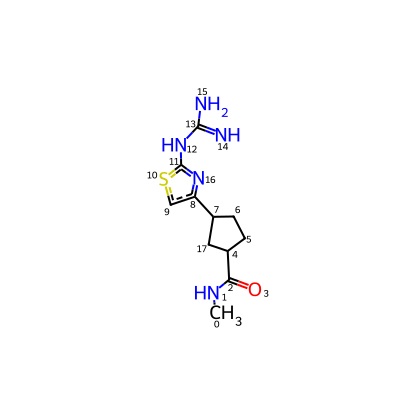 CNC(=O)C1CCC(c2csc(NC(=N)N)n2)C1